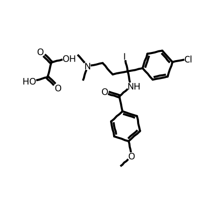 COc1ccc(C(=O)NC(I)(CCN(C)C)c2ccc(Cl)cc2)cc1.O=C(O)C(=O)O